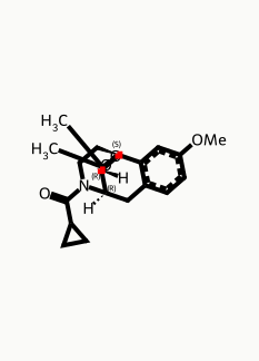 COc1ccc2c(c1)[C@]13CCN(C(=O)C4CC4)[C@H](C2)[C@@H]1OC(C)(C)OC3